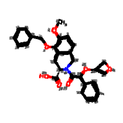 COc1ccc2c(c1OCc1ccccc1)C[C@@H](C(=O)O)N(C(=O)C(OC1COC1)c1ccccc1)C2